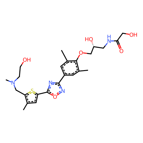 Cc1cc(-c2nc(-c3cc(C)c(OC[C@H](O)CNC(=O)CO)c(C)c3)no2)sc1CN(C)CCO